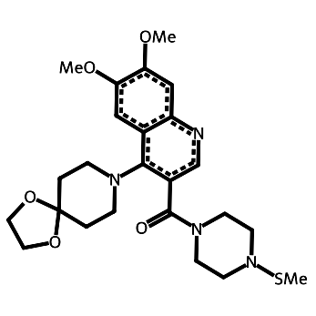 COc1cc2ncc(C(=O)N3CCN(SC)CC3)c(N3CCC4(CC3)OCCO4)c2cc1OC